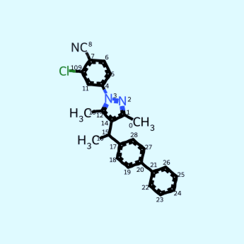 Cc1nn(-c2ccc(C#N)c(Cl)c2)c(C)c1C(C)c1ccc(-c2ccccc2)cc1